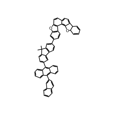 CC1(C)c2ccc(-c3c4ccccc4c(-c4ccc5ccccc5c4)c4ccccc34)cc2-c2ccc(-c3ccc4c(c3)oc3ccc5ccc6c(c5c34)OC3C=CC=CC63)cc21